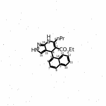 CCCC1=C(C(=O)OCC)C(c2cccc3ccccc23)c2c[nH]nc2N1